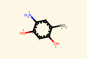 Nc1cc([N+](=O)[O-])c(O)cc1O